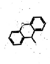 IC1c2ccccc2Oc2ccccc21